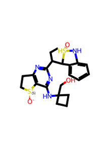 O=[SH]12CCC(c3nc4c(c(NC5(CO)CCC5)n3)[S@+]([O-])CC4)C1c1ccccc1N2